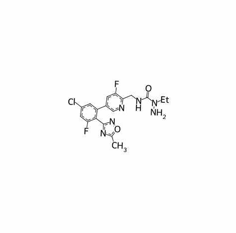 CCN(N)C(=O)NCc1ncc(-c2cc(Cl)cc(F)c2-c2noc(C)n2)cc1F